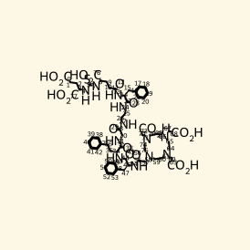 O=C(O)CC[C@H](NC(=S)N[C@@H](CCC(=O)N[C@@H](Cc1ccccc1)C(=O)NCCNC(=O)CNC(=O)[C@H](CCc1ccccc1)NC(=O)[C@H](Cc1ccccc1)NC(=O)CN1CCN(CC(=O)O)CCN(CC(=O)O)CCN(CC(=O)O)CC1)C(=O)O)C(=O)O